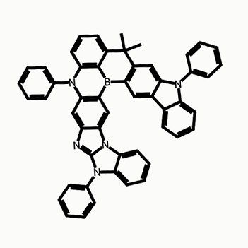 CC1(C)c2cc3c(cc2B2c4cc5c(cc4N(c4ccccc4)c4cccc1c42)nc1n(-c2ccccc2)c2ccccc2n51)c1ccccc1n3-c1ccccc1